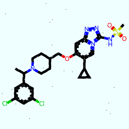 CC(c1cc(Cl)cc(Cl)c1)N1CCC(COc2cc3nnc(NS(C)(=O)=O)n3cc2C2CC2)CC1